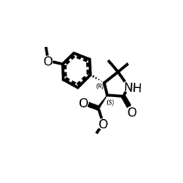 COC(=O)[C@@H]1C(=O)NC(C)(C)[C@H]1c1ccc(OC)cc1